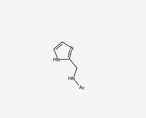 [CH2]C(=O)NCc1ncc[nH]1